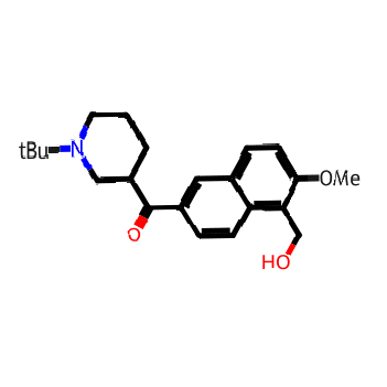 COc1ccc2cc(C(=O)C3CCCN(C(C)(C)C)C3)ccc2c1CO